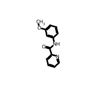 COc1cccc(NC(=O)c2ccccn2)c1